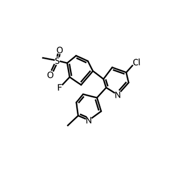 Cc1ccc(-c2ncc(Cl)cc2-c2ccc(S(C)(=O)=O)c(F)c2)cn1